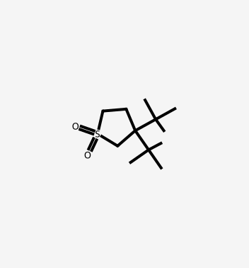 CC(C)(C)C1(C(C)(C)C)CCS(=O)(=O)C1